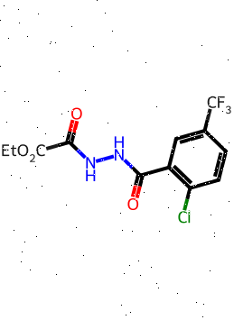 CCOC(=O)C(=O)NNC(=O)c1cc(C(F)(F)F)ccc1Cl